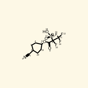 N#CC1CCC(OC(=O)C(F)(C(F)(F)F)S(=O)(=O)O)CC1